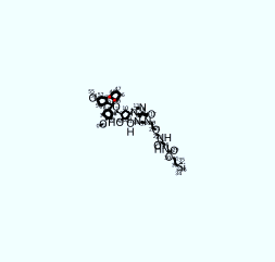 COc1ccc(C(OC[C@H]2C[C@@H](n3cnc4c(=O)n(CCOCNC(=O)CNC(=O)OCC[Si](C)(C)C)cnc43)[C@H](O)[C@@H]2O)(c2ccccc2)c2ccc(OC)cc2)cc1